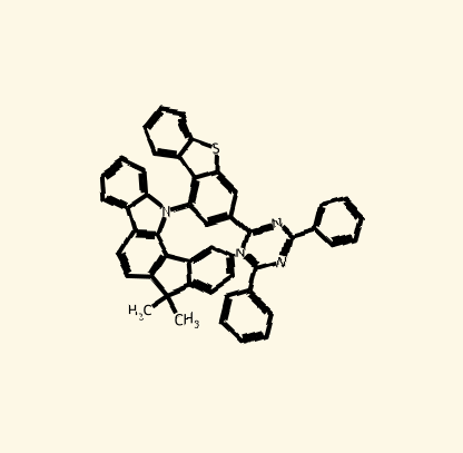 CC1(C)c2ccccc2-c2c1ccc1c3ccccc3n(-c3cc(-c4nc(-c5ccccc5)nc(-c5ccccc5)n4)cc4sc5ccccc5c34)c21